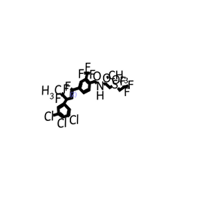 COC(C[S+]([O-])CC(F)(F)F)NC(=O)c1ccc(/C(F)=C/C(c2cc(Cl)c(Cl)c(Cl)c2)C(C)(F)F)cc1C(F)(F)F